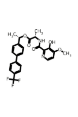 COc1ccnc(C(=O)N[C@@H](C)C(=O)O[C@@H](C)c2ccc(-c3ccc(C(F)(F)F)cc3)cc2)c1O